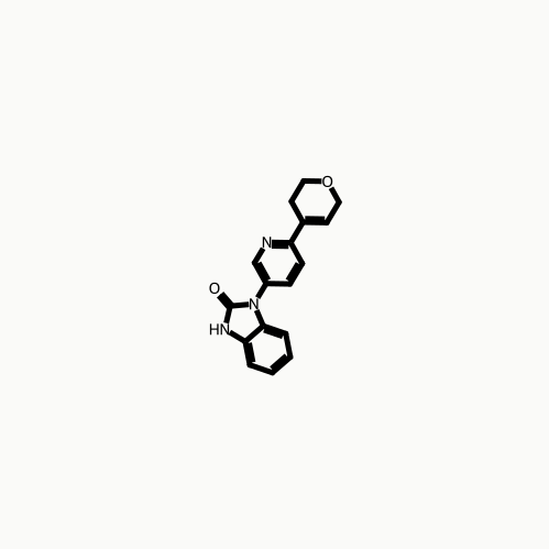 O=c1[nH]c2ccccc2n1-c1ccc(C2=CCOCC2)nc1